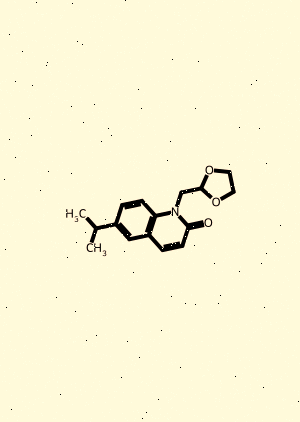 CC(C)c1ccc2c(ccc(=O)n2CC2OCCO2)c1